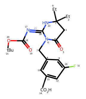 CCC1(CC)CC(=O)N(Cc2cc(F)cc(C(=O)O)c2)/C(=N\C(=O)OC(C)(C)C)N1